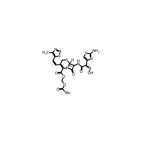 Cc1nnsc1/C=C\C1=C(C(=O)OCOC(=O)C(C)(C)C)N2C(=O)C(NC(=O)/C(=N\O)c3csc(N)n3)[C@H]2SC1